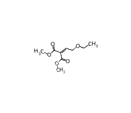 CCOCC=C(C(=O)OC)C(=O)OC